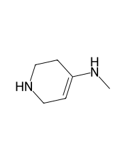 CNC1=CCNCC1